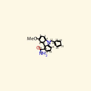 COc1ccc2c(c1)c1c(C(N)=O)cccc1n2Cc1ccccc1